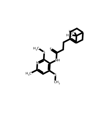 CSc1cc(C)nc(SC)c1NC(=S)CCC1=C2CC(CC1)C2(C)C